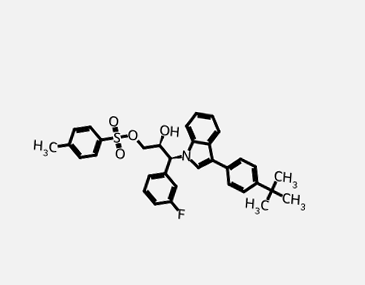 Cc1ccc(S(=O)(=O)OC[C@@H](O)[C@H](c2cccc(F)c2)n2cc(-c3ccc(C(C)(C)C)cc3)c3ccccc32)cc1